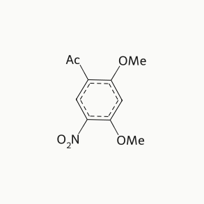 COc1cc(OC)c([N+](=O)[O-])cc1C(C)=O